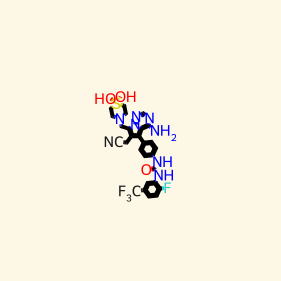 N#CCc1c(-c2ccc(NC(=O)Nc3cc(C(F)(F)F)ccc3F)cc2)c2c(N)ncnn2c1CN1CCS(O)(O)CC1